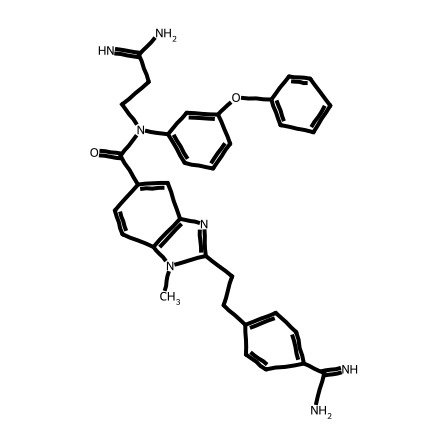 Cn1c(CCc2ccc(C(=N)N)cc2)nc2cc(C(=O)N(CCC(=N)N)c3cccc(Oc4ccccc4)c3)ccc21